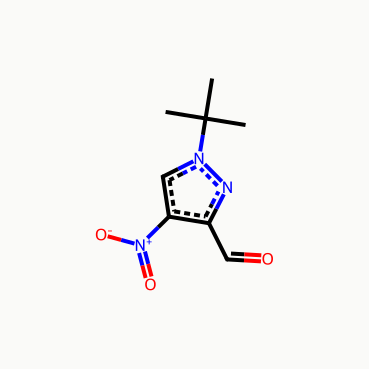 CC(C)(C)n1cc([N+](=O)[O-])c(C=O)n1